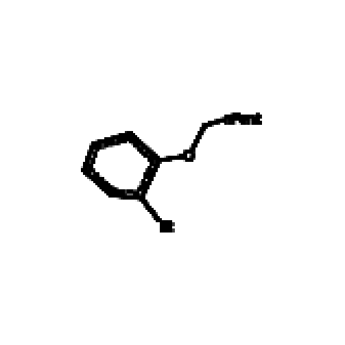 [CH2]Cc1ccccc1OCCCCCC